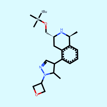 CC1C(c2cccc3c2C[C@H](CO[Si](C)(C)C(C)(C)C)N[C@H]3C)C=NN1C1COC1